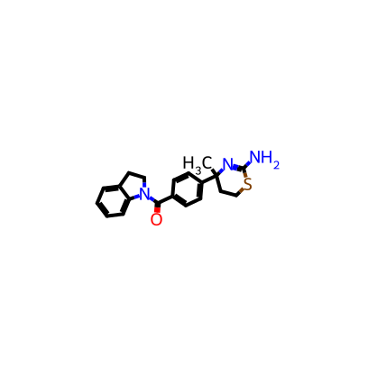 CC1(c2ccc(C(=O)N3CCc4ccccc43)cc2)CCSC(N)=N1